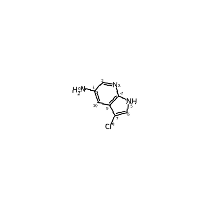 Nc1cnc2[nH]cc(Cl)c2c1